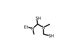 CCN(C)C(S)N(C)CS